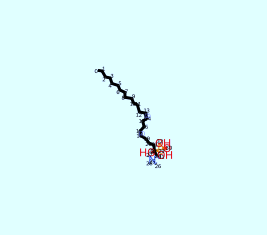 CCCCCCCCCCCCC/C=C\CC/C=C\CCCC(O)(C[N+](C)(C)C)P(=O)(O)O